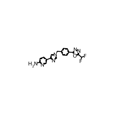 Nc1ccc(-c2cn(Cc3ccc(-c4nnc(C(F)F)o4)cc3)cn2)cn1